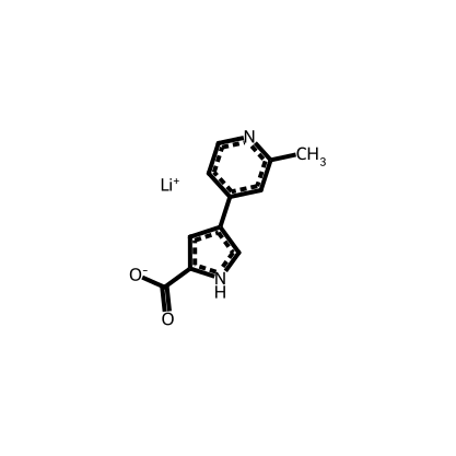 Cc1cc(-c2c[nH]c(C(=O)[O-])c2)ccn1.[Li+]